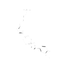 Cc1cc(C(=O)N[C@]2([SiH3])CC[C@H](c3nnc(OCCOC(F)(F)F)o3)NC2)ccc1Cl